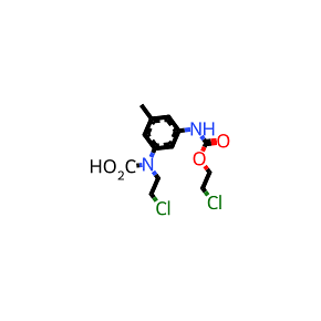 Cc1cc(NC(=O)OCCCl)cc(N(CCCl)C(=O)O)c1